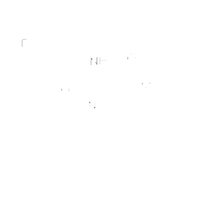 CCOC(=O)C1=C(Nc2ccc(F)cc2)C(=O)N(c2ccc(F)cc2)C1